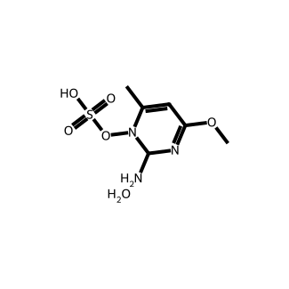 COC1=NC(N)N(OS(=O)(=O)O)C(C)=C1.O